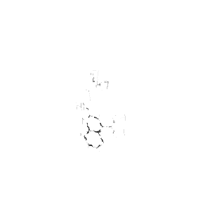 CC(C)c1cc(NCCN(C)C)nc2ccccc12